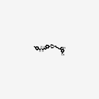 Cc1ccc(C(=O)NC(=O)c2cc3cc(N4CCN(CCCCc5c[nH]c6ccc(C#N)cc56)CC4)ccc3o2)cc1